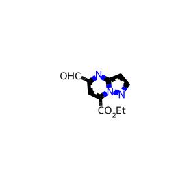 CCOC(=O)c1cc(C=O)nc2ccnn12